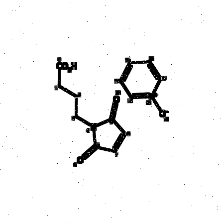 O=C(O)CCCN1C(=O)C=CC1=O.[O-][n+]1ccccc1